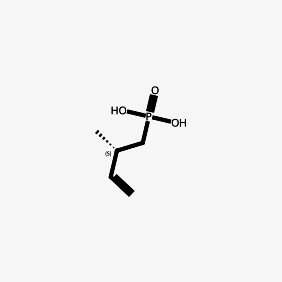 C=C[C@H](C)CP(=O)(O)O